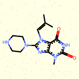 CC(C)=Cn1c(N2CCNCC2)nc2c1c(=O)[nH]c(=O)n2C